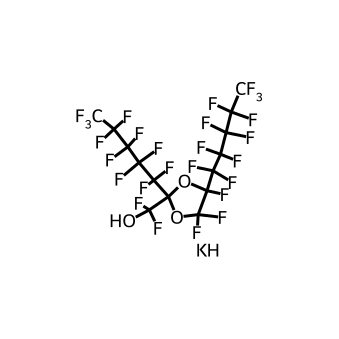 OC(F)(F)C1(C(F)(F)C(F)(F)C(F)(F)C(F)(F)C(F)(F)F)OC(F)(F)C(F)(C(F)(F)C(F)(F)C(F)(F)C(F)(F)C(F)(F)F)O1.[KH]